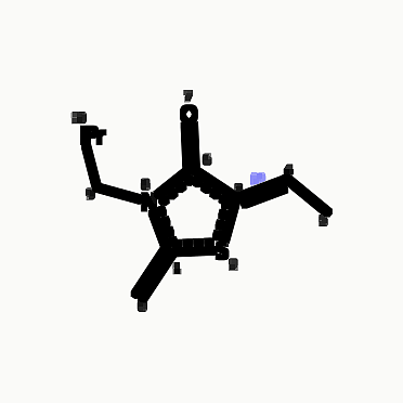 C=c1s/c(=C\C)c(=O)n1CC(C)C